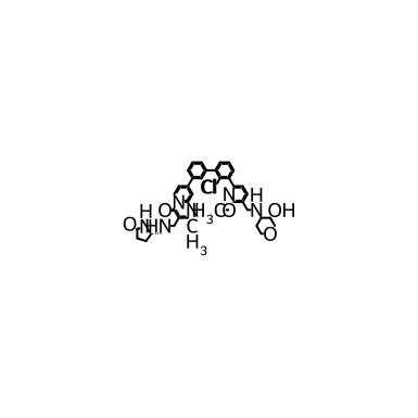 COc1nc(-c2cccc(-c3cccc(-c4ccn5c(=O)c(CNC[C@@H]6CCC(=O)N6)c(C)nc5c4)c3Cl)c2Cl)ccc1CN[C@@H]1CCOC[C@@H]1O